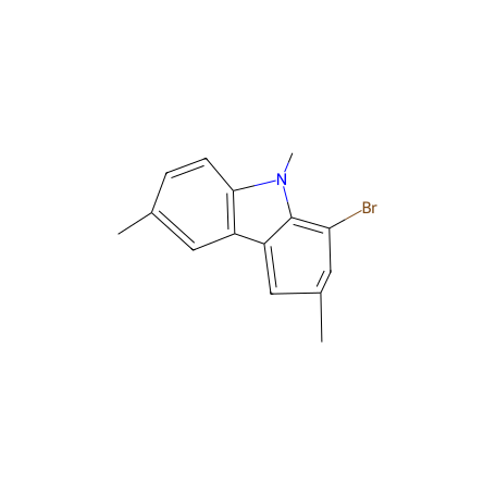 Cc1ccc2c(c1)c1cc(C)cc(Br)c1n2C